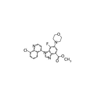 COC(=O)c1cc(N2CCOCC2)c(F)c2c1ncn2-c1ccnc2c(Cl)cccc12